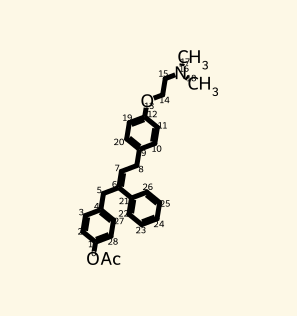 CC(=O)Oc1ccc(CC(=CCc2ccc(OCCN(C)C)cc2)c2ccccc2)cc1